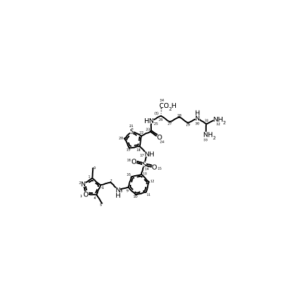 Cc1noc(C)c1CNc1cccc(S(=O)(=O)Nc2ccsc2C(=O)N[C@@H](CCCNC(N)N)C(=O)O)c1